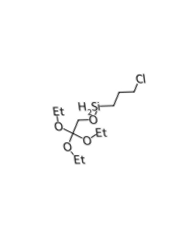 CCOC(CO[SiH2]CCCCl)(OCC)OCC